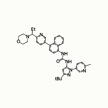 CCC(c1ccc(-c2ccc(NC(=O)Nc3cc(C(C)(C)C)nn3-c3ccc(C)nc3)c3ccccc23)cn1)N1CCOCC1